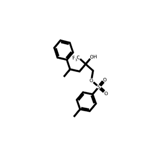 Cc1ccc(S(=O)(=O)OCC(O)(CC(C)c2ccccc2)C(F)(F)F)cc1